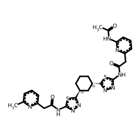 CC(=O)Nc1cccc(CC(=O)Nc2nnc([C@H]3CCC[C@H](c4nnc(NC(=O)Cc5cccc(C)n5)s4)C3)s2)n1